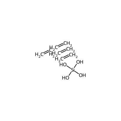 C=C.C=C.C=C.C=C.O[Si](O)(O)O